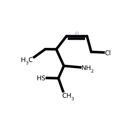 CCC(/C=C\CCl)C(N)C(C)S